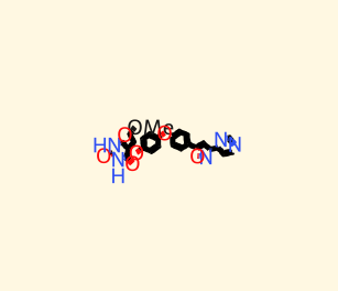 COCCC1(Oc2ccc(Oc3ccc(-c4cc(-c5ccncn5)no4)cc3)cc2)C(=O)NC(=O)NC1=O